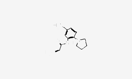 C=CC(=O)Nc1cc(N)ccc1N1CCCC1